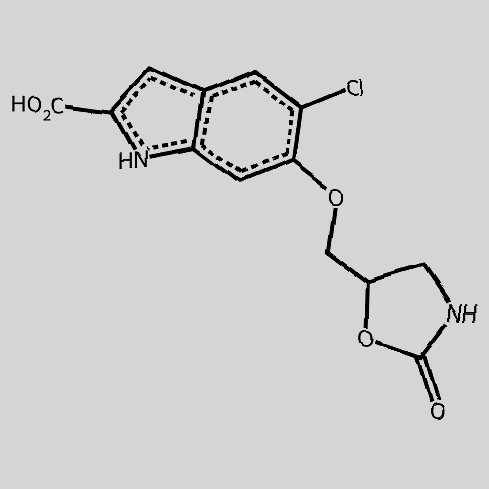 O=C1NCC(COc2cc3[nH]c(C(=O)O)cc3cc2Cl)O1